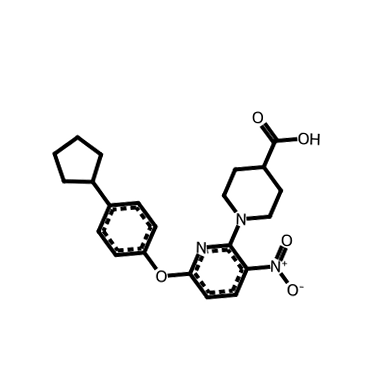 O=C(O)C1CCN(c2nc(Oc3ccc(C4CCCC4)cc3)ccc2[N+](=O)[O-])CC1